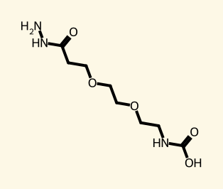 NNC(=O)CCOCCOCCNC(=O)O